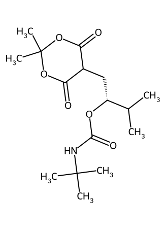 CC(C)[C@@H](CC1C(=O)OC(C)(C)OC1=O)OC(=O)NC(C)(C)C